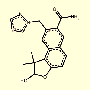 CC1(C)c2c(ccc3cc(C(N)=O)c(Cn4cncn4)cc23)OC1O